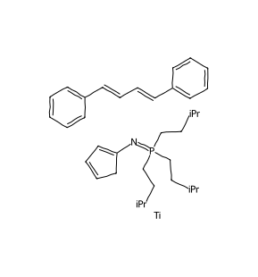 C(C=Cc1ccccc1)=Cc1ccccc1.CC(C)CCP(CCC(C)C)(CCC(C)C)=NC1=CC=CC1.[Ti]